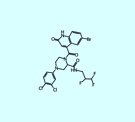 O=C(NCC(F)C(F)F)C1CN(c2ccc(Cl)c(Cl)c2)CCN1C(=O)c1cc(=O)[nH]c2ccc(Br)cc12